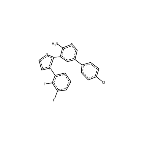 Nc1ncc(-c2ccc(Cl)cc2)cc1-c1nccn1-c1cccc(F)c1F